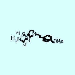 COCC12CCC(CCN3CCc4c(nc(C(N)=O)n4C)C3)(CC1)C2